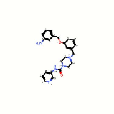 Nc1cccc(COC2C=C(CN3CCN(C(=O)Nc4cccnc4)CC3)C=CC2)c1